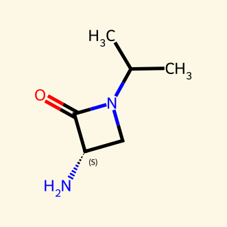 CC(C)N1C[C@H](N)C1=O